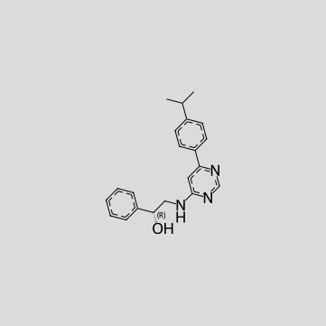 CC(C)c1ccc(-c2cc(NC[C@H](O)c3ccccc3)ncn2)cc1